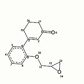 O=C1C=C(c2ccccc2OCC2CO2)CCC1